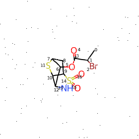 CC(Br)C(=O)OC1C2CC3C(S2)C1NS3(=O)=O